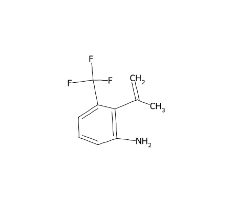 C=C(C)c1c(N)cccc1C(F)(F)F